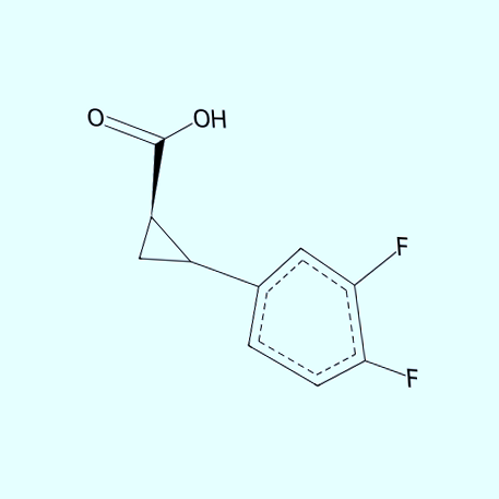 O=C(O)[C@@H]1CC1c1ccc(F)c(F)c1